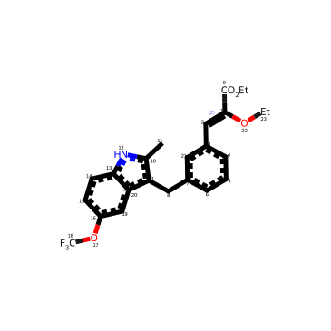 CCOC(=O)/C(=C/c1cccc(Cc2c(C)[nH]c3ccc(OC(F)(F)F)cc23)c1)OCC